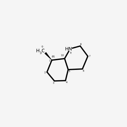 C[C@@H]1CCCC2CCCNC21